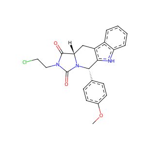 COc1ccc([C@H]2c3[nH]c4ccccc4c3C[C@H]3C(=O)N(CCCl)C(=O)N23)cc1